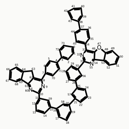 c1ccc(-c2ccc(-c3nc(-c4cccc(-c5cccc(-c6cccc(-c7cccc(-c8nc(-c9ccc(-c%10ccccc%10)cc9)c9oc%10ccccc%10c9n8)c7)c6)c5)c4)nc4c3Cc3ccccc3-4)cc2)cc1